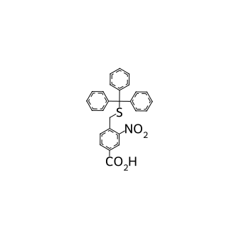 O=C(O)c1ccc(CSC(c2ccccc2)(c2ccccc2)c2ccccc2)c([N+](=O)[O-])c1